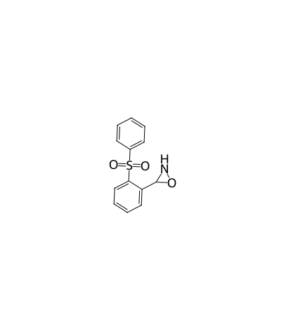 O=S(=O)(c1ccccc1)c1ccccc1C1NO1